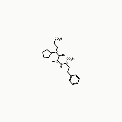 CCOC(=O)[C@H](CCc1ccccc1)N[C@@H](C)C(=O)[C@H](CCC(=O)O)N1CCCC1